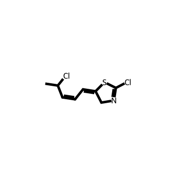 CC(Cl)/C=C\C=C1/CN=C(Cl)S1